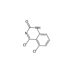 O=c1nc(Cl)c2c(Cl)cccc2[nH]1